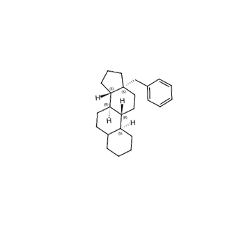 c1ccc(C[C@@]23CCC[C@H]2[C@@H]2CCC4CCCC[C@@H]4[C@H]2CC3)cc1